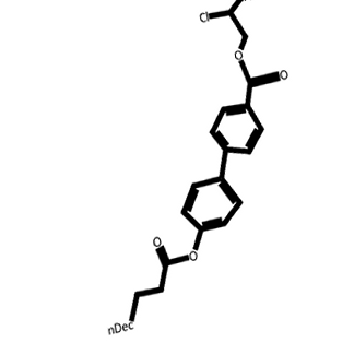 CCCCCCCCCCCCC(=O)Oc1ccc(-c2ccc(C(=O)OCC(Cl)C(C)C)cc2)cc1